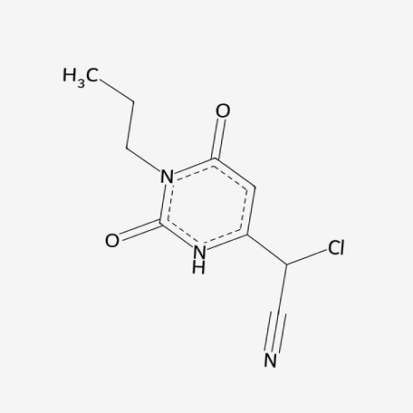 CCCn1c(=O)cc(C(Cl)C#N)[nH]c1=O